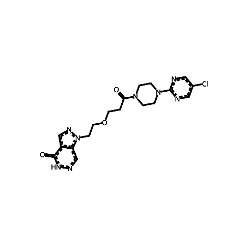 O=C(CCOCCn1ncc2c(=O)[nH]ncc21)N1CCN(c2ncc(Cl)cn2)CC1